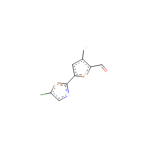 Cc1cc(-c2ncc(Cl)s2)sc1C=O